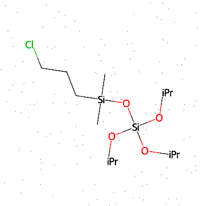 CC(C)O[Si](OC(C)C)(OC(C)C)O[Si](C)(C)CCCCl